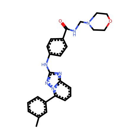 Cc1cccc(-c2cccc3nc(Nc4ccc(C(=O)NCN5CCOCC5)cc4)nn23)c1